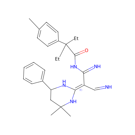 CCC(CC)(C(=O)NC(=N)/C(C=N)=C1\NC(c2ccccc2)CC(C)(C)N1)c1ccc(C)cc1